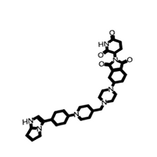 O=C1CCC(N2C(=O)C3=C(CC(N4CCN(CC5CCN(C6CCC(C7=CNC8CCCN78)CC6)CC5)CC4)CC3)C2=O)C(=O)N1